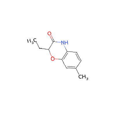 CCC1Oc2cc(C)ccc2NC1=O